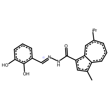 Cc1cc(C(=O)N/N=C/c2cccc(O)c2O)c2cc(C(C)C)cccc1-2